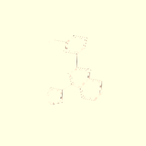 Cc1cccc(-c2nc(-c3ccsc3)c3ccccc3n2)n1